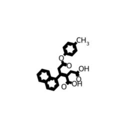 Cc1ccc(OC(=O)CC(=C(CC(=O)O)C(=O)O)c2cccc3ccccc23)cc1